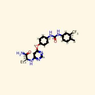 CC[C@H](Nc1cc(Oc2ccc(NC(=O)Nc3ccc(C)c(C(F)(F)F)c3)cc2)ncn1)C(N)=O